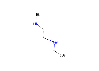 CCCCNCCNCC